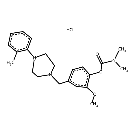 COc1cc(CN2CCN(c3ccccc3C)CC2)ccc1OC(=O)N(C)C.Cl